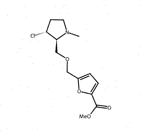 COC(=O)c1ccc(COC[C@H]2[C@H](Cl)CCN2C)o1